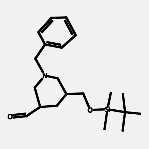 CC(C)(C)[Si](C)(C)OCC1CC(C=O)CN(Cc2ccccc2)C1